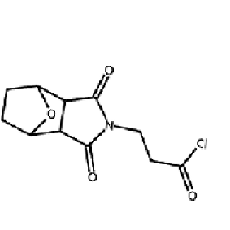 O=C(Cl)CCN1C(=O)C2C3CCC(O3)C2C1=O